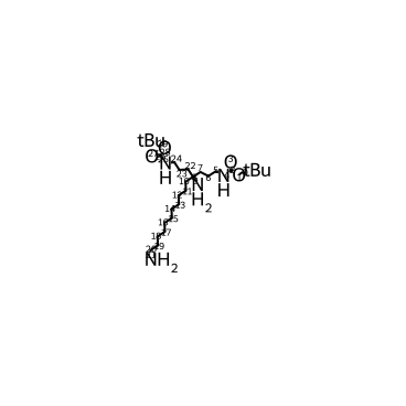 CC(C)(C)OC(=O)NCCCC(N)(CCCCCCCCCCCN)CCCNC(=O)OC(C)(C)C